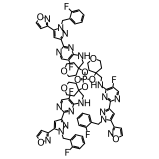 O=P(OC1(CNc2nc(-c3cc(-c4ccon4)n(Cc4ccccc4F)n3)ncc2F)CCOCC1)(OC1(CNc2nc(-c3cc(-c4ccon4)n(Cc4ccccc4F)n3)ncc2F)CCOCC1)OC1(CNc2nc(-c3cc(-c4ccon4)n(Cc4ccccc4F)n3)ncc2F)CCOCC1